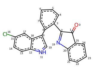 O=C1C(c2ccccc2-c2c[nH]c3ccc(Cl)cc23)=Nc2ccccc21